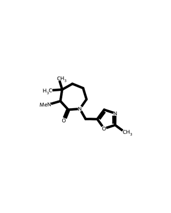 CNC1C(=O)N(Cc2cnc(C)o2)CCCC1(C)C